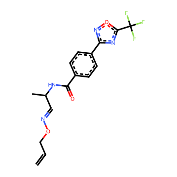 C=CCON=CC(C)NC(=O)c1ccc(-c2noc(C(F)(F)F)n2)cc1